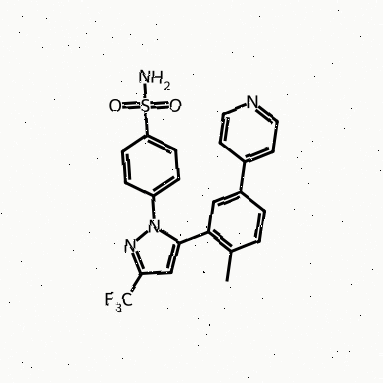 Cc1ccc(-c2ccncc2)cc1-c1cc(C(F)(F)F)nn1-c1ccc(S(N)(=O)=O)cc1